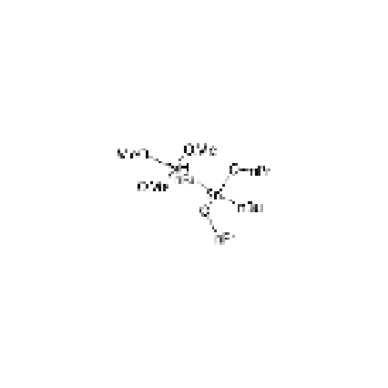 CCC[CH2][Sn]([CH2]CCC)([O]CCC)[O]CCC.CO[SiH](OC)OC